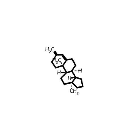 C=C1C=C2CC[C@H]3[C@@H]4CCC[C@@]4(C)CC[C@@H]3[C@@]2(C)CC1